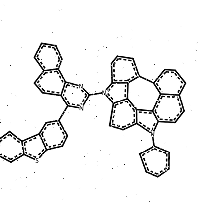 c1ccc(-n2c3ccc4cccc5c4c3c3c4c6c-5cccc6n(-c5nc(-c6ccc7sc8ccccc8c7c6)c6ccc7ccccc7c6n5)c4ccc32)cc1